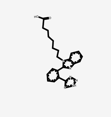 O=C(O)CCCCCCCn1c(-c2ccccc2-c2nn[nH]n2)nc2ccccc21